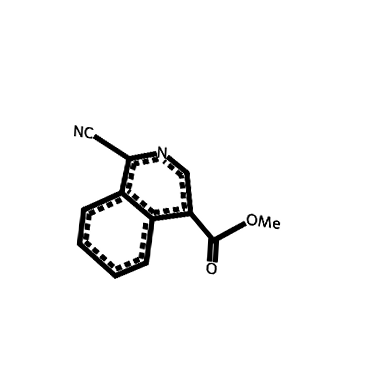 COC(=O)c1cnc(C#N)c2ccccc12